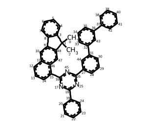 CC1(C)c2ccccc2-c2cc3cccc(-c4nc(-c5ccccc5)nc(-c5cccc(-c6cccc(-c7ccccc7)c6)c5)n4)c3cc21